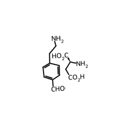 NCCc1ccc([C]=O)cc1.N[C@@H](CC(=O)O)C(=O)O